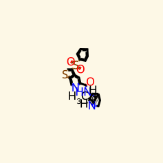 C[C@H]1[C@H](NC(=O)c2cc3c(S(=O)(=O)c4ccccc4)csc3cn2)C2CCN1CC2